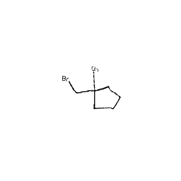 OC1(CBr)CCCC1